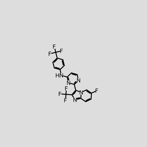 Fc1ccc2nc(C(F)(F)F)c(-c3nccc(Nc4ccc(C(F)(F)F)cc4)n3)n2c1